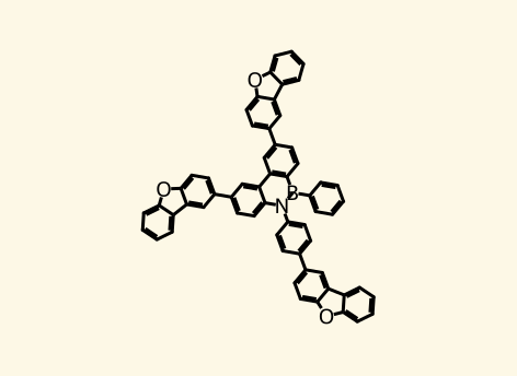 c1ccc(B2c3ccc(-c4ccc5oc6ccccc6c5c4)cc3-c3cc(-c4ccc5oc6ccccc6c5c4)ccc3N2c2ccc(-c3ccc4oc5ccccc5c4c3)cc2)cc1